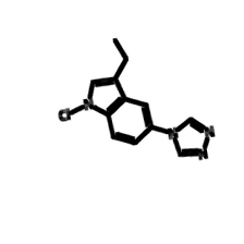 CCc1cn(Cl)c2ccc(-n3cnnc3)cc12